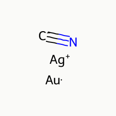 [Ag+].[Au].[C-]#N